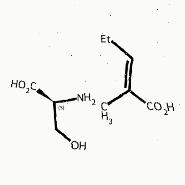 CCC=C(C)C(=O)O.N[C@@H](CO)C(=O)O